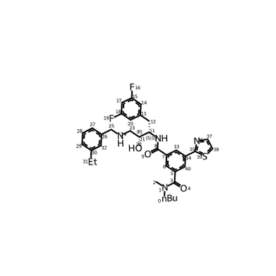 CCCCN(C)C(=O)c1cc(C(=O)N[C@@H](Cc2cc(F)cc(F)c2)[C@H](O)CNCc2cccc(CC)c2)cc(-c2nccs2)c1